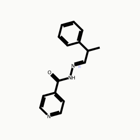 CC(/C=N/NC(=O)c1ccncc1)c1ccccc1